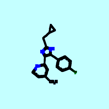 O=C(O)c1ccnc(-c2nc(CC3CC3)[nH]c2-c2ccc(F)cc2)c1